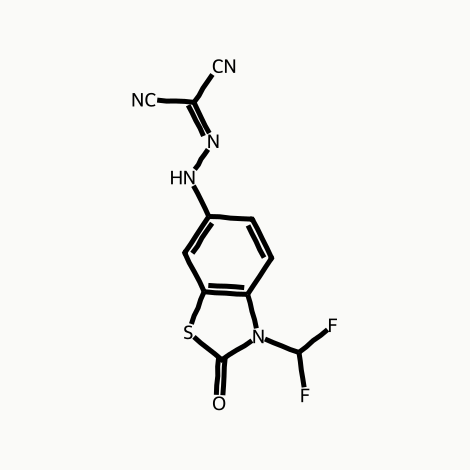 N#CC(C#N)=NNc1ccc2c(c1)sc(=O)n2C(F)F